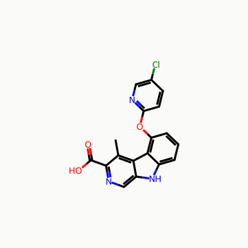 Cc1c(C(=O)O)ncc2[nH]c3cccc(Oc4ccc(Cl)cn4)c3c12